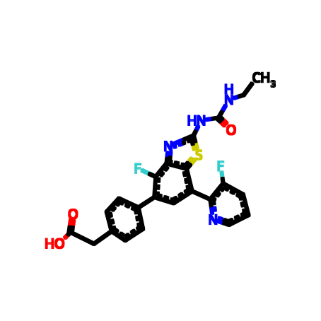 CCNC(=O)Nc1nc2c(F)c(-c3ccc(CC(=O)O)cc3)cc(-c3ncccc3F)c2s1